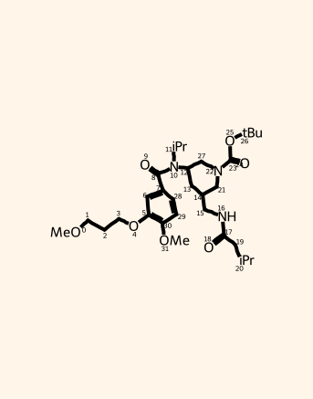 COCCCOc1cc(C(=O)N(C(C)C)C2CC(CNC(=O)CC(C)C)CN(C(=O)OC(C)(C)C)C2)ccc1OC